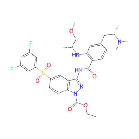 CCOC(=O)n1nc(NC(=O)c2ccc(C[C@H](C)N(C)C)cc2NC(C)COC)c2cc(S(=O)(=O)c3cc(F)cc(F)c3)ccc21